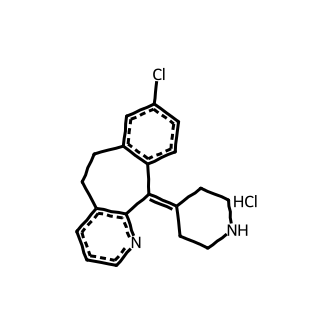 Cl.Clc1ccc2c(c1)CCc1cccnc1C2=C1CCNCC1